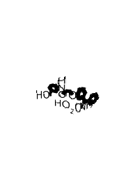 O=C(O)N[C@@H](c1ccccc1)c1cccc(OCC(=O)Nc2cccc(CO)c2)c1